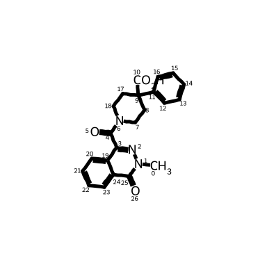 Cn1nc(C(=O)N2CCC(C(=O)O)(c3ccccc3)CC2)c2ccccc2c1=O